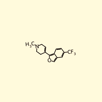 CN1CC=C(c2occ3cc(C(F)(F)F)ccc23)CC1